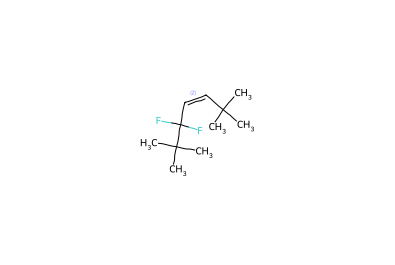 CC(C)(C)/C=C\C(F)(F)C(C)(C)C